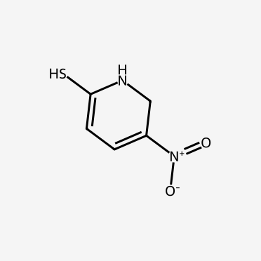 O=[N+]([O-])C1=CC=C(S)NC1